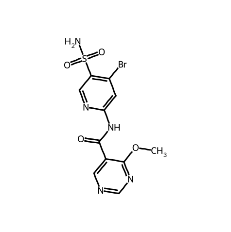 COc1ncncc1C(=O)Nc1cc(Br)c(S(N)(=O)=O)cn1